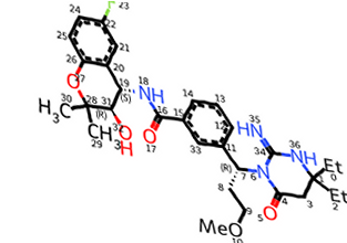 CCC1(CC)CC(=O)N([C@H](CCOC)c2cccc(C(=O)N[C@H]3c4cc(F)ccc4OC(C)(C)[C@@H]3O)c2)C(=N)N1